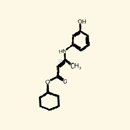 C/C(=C\C(=O)OC1CCCCC1)Nc1cccc(O)c1